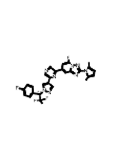 Cc1ccc(C)n1-c1nc2cc(-c3cncc(-c4cnn([C@H](c5ccc(F)cc5)C(C)(F)F)c4)n3)cc(F)n2n1